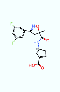 CC1(C(=O)N[C@H]2CC=C(C(=O)O)C2)CC(c2cc(F)cc(F)c2)=NO1